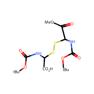 COC(=O)C(NC(=O)OC(C)(C)C)SSC(NC(=O)OC(C)(C)C)C(=O)O